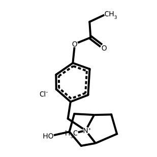 CCC(=O)Oc1ccc(C[N+]2(C)C3CCC2CC(O)C3)cc1.[Cl-]